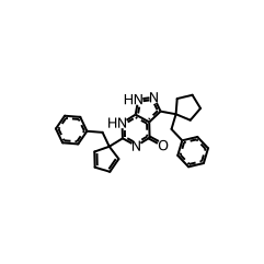 O=c1nc(C2(Cc3ccccc3)C=CC=C2)[nH]c2[nH]nc(C3(Cc4ccccc4)CCCC3)c12